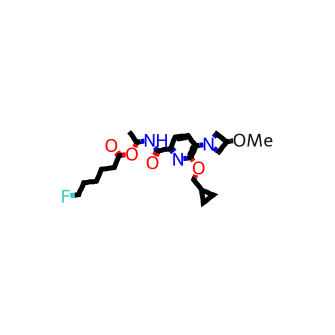 COC1CN(c2ccc(C(=O)NC(C)OC(=O)CCCCCF)nc2OCC2CC2)C1